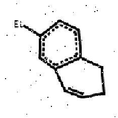 CCc1ccc2c(c1)C=CCC2